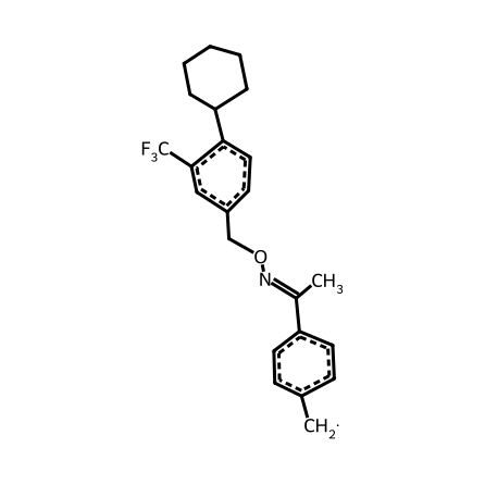 [CH2]c1ccc(C(C)=NOCc2ccc(C3CCCCC3)c(C(F)(F)F)c2)cc1